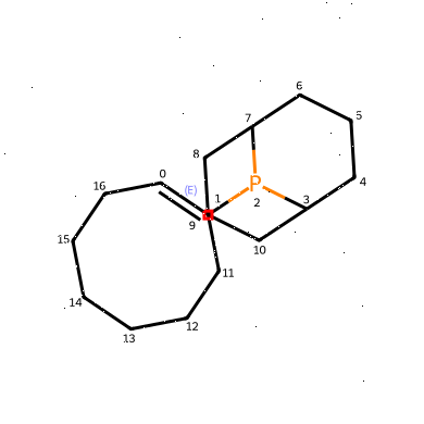 C1=C(/P2C3CCCC2CCC3)CCCCCC/1